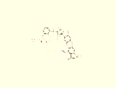 CNCC(C)(C)CCCC(C)(c1cccc(I)c1)c1nnc(-c2cc(Oc3c(F)cc4[nH]cc(Cl)c4c3/C=C/C(=O)O)ccc2F)[nH]1